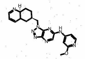 COc1cc(Nc2cnc3nnn(C[C@@H]4CC[C@@H]5N=CC=CC5C4)c3n2)ccn1